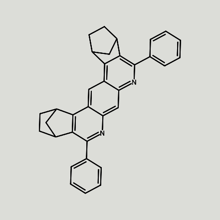 c1ccc(-c2nc3cc4nc(-c5ccccc5)c5c(c4cc3c3c2C2CCC3C2)C2CCC5C2)cc1